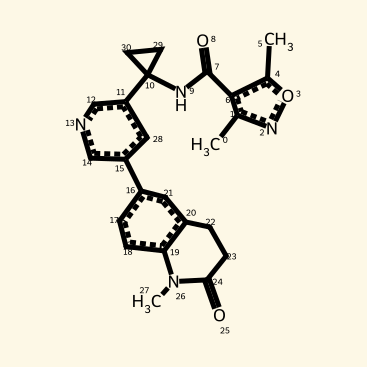 Cc1noc(C)c1C(=O)NC1(c2cncc(-c3ccc4c(c3)CCC(=O)N4C)c2)CC1